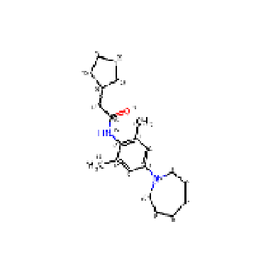 Cc1cc(N2CCCCCC2)cc(C)c1NC(=O)CC1CCCC1